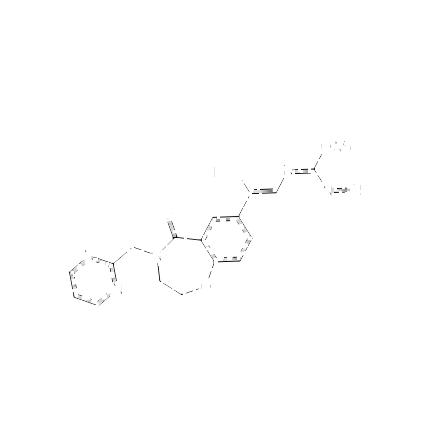 C=N/C(=N\C=C(/C)c1ccc2c(c1)C(=O)N(Cc1ncccn1)CCO2)OC